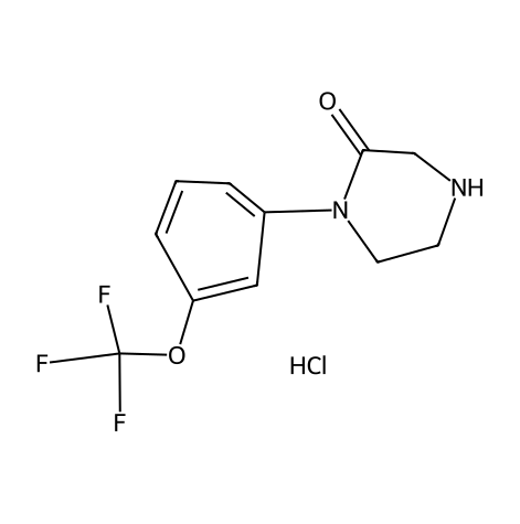 Cl.O=C1CNCCN1c1cccc(OC(F)(F)F)c1